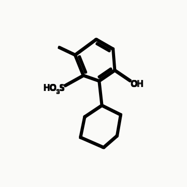 Cc1ccc(O)c(C2CCCCC2)c1S(=O)(=O)O